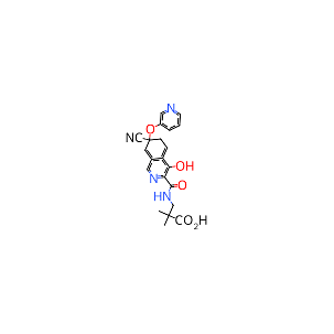 CC(C)(CNC(=O)c1ncc2c(c1O)=CCC(C#N)(Oc1cccnc1)C=2)C(=O)O